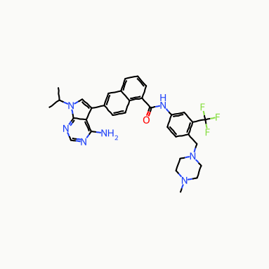 CC(C)n1cc(-c2ccc3c(C(=O)Nc4ccc(CN5CCN(C)CC5)c(C(F)(F)F)c4)cccc3c2)c2c(N)ncnc21